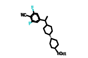 CCCCCCCC[C@H]1CC[C@H](C2CCC(C(C)c3cc(F)c(C#N)c(F)c3)CC2)CC1